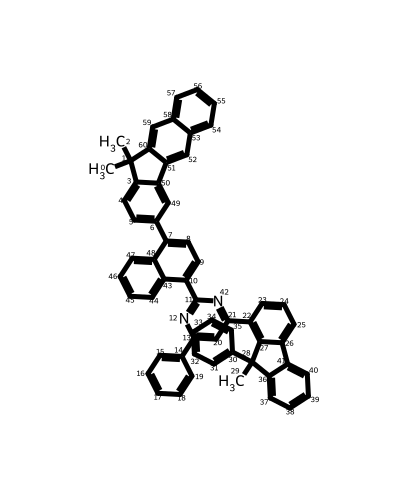 CC1(C)c2ccc(-c3ccc(-c4nc(-c5ccccc5)cc(-c5cccc6c5C(C)(c5ccccc5)c5ccccc5-6)n4)c4ccccc34)cc2-c2cc3ccccc3cc21